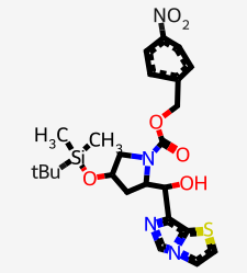 CC(C)(C)[Si](C)(C)OC1CC(C(O)c2ncn3ccsc23)N(C(=O)OCc2ccc([N+](=O)[O-])cc2)C1